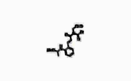 CCC(=O)N(C[C]=O)C(=O)/C=C/c1ccccc1NC(C)OC